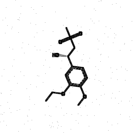 CCOc1cc([C@H](O)CS(C)(=O)=O)ccc1OC